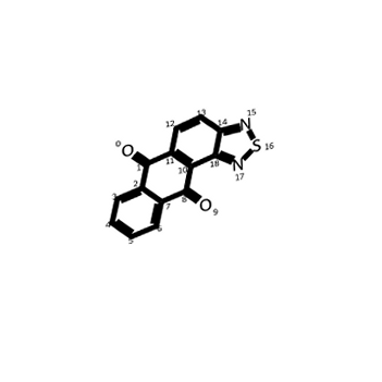 O=C1c2ccccc2C(=O)c2c1ccc1nsnc21